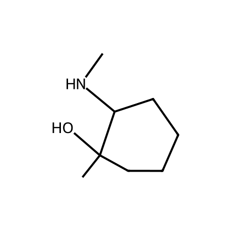 CNC1CCCCC1(C)O